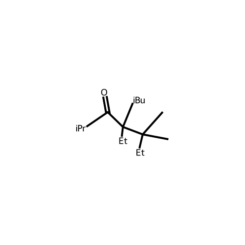 CCC(C)C(CC)(C(=O)C(C)C)C(C)(C)CC